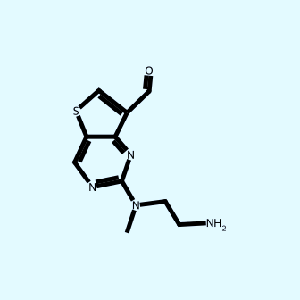 CN(CCN)c1ncc2scc(C=O)c2n1